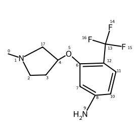 CN1CCC(Oc2cc(N)ccc2C(F)(F)F)C1